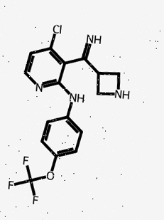 N=C(c1c(Cl)ccnc1Nc1ccc(OC(F)(F)F)cc1)C1CNC1